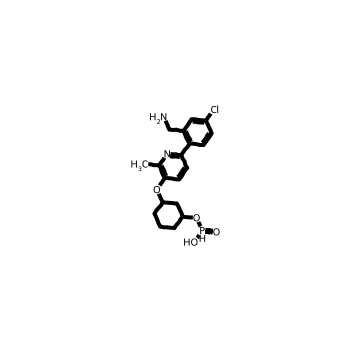 Cc1nc(-c2ccc(Cl)cc2CN)ccc1OC1CCCC(O[PH](=O)O)C1